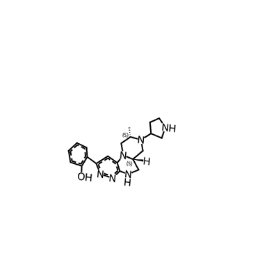 C[C@H]1CN2c3cc(-c4ccccc4O)nnc3NC[C@H]2CN1C1CCNC1